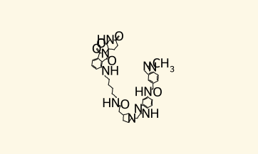 Cn1ncc2cc(C(=O)Nc3ccc4[nH]c(CN5CCC(CC(=O)NCCCCCCNc6cccc7c6C(=O)N(C6CCC(=O)NC6=O)C7=O)C5)nc4c3)ccc21